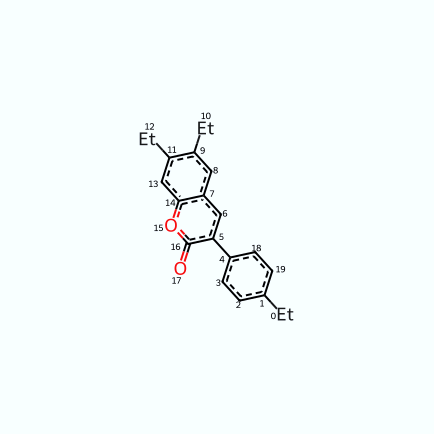 CCc1ccc(-c2cc3cc(CC)c(CC)cc3oc2=O)cc1